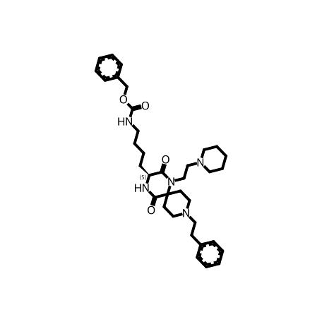 O=C(NCCCC[C@@H]1NC(=O)C2(CCN(CCc3ccccc3)CC2)N(CCN2CCCCC2)C1=O)OCc1ccccc1